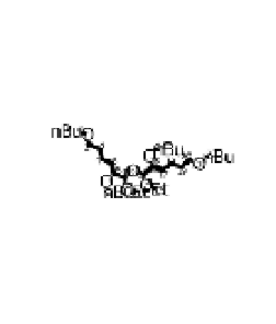 CCCCOCCCC=C(OCCCC)C(OCC)OC(OCC)C(=CCCCOCCCC)OCCCC